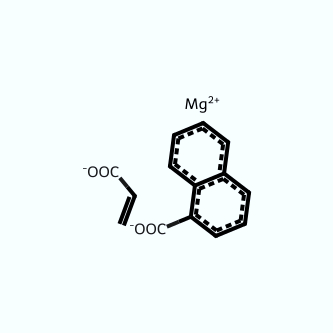 C=CC(=O)[O-].O=C([O-])c1cccc2ccccc12.[Mg+2]